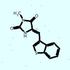 CN1C(=O)N/C(=C\c2csc3ccccc23)C1=O